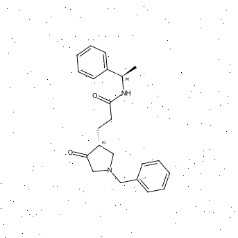 C[C@@H](NC(=O)CC[C@@H]1CN(Cc2ccccc2)CC1=O)c1ccccc1